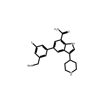 CNCc1cc(F)cc(-c2cc(C(N)=O)c3[nH]cc(C4CCNCC4)c3c2)c1